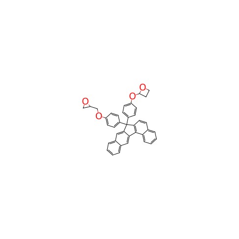 c1ccc2cc3c(cc2c1)-c1c(ccc2ccccc12)C3(c1ccc(OCC2CO2)cc1)c1ccc(OC2CCO2)cc1